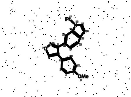 COc1ccc(-c2conc2-c2ccc3ccn(C(C)C)c3c2)cc1